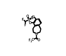 O=C(N1CCc2ccc(Cl)c(OS(=O)(=O)C(F)F)c2CC1)C(F)(F)F